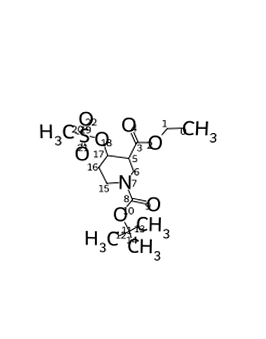 CCOC(=O)C1CN(C(=O)OC(C)(C)C)CCC1OS(C)(=O)=O